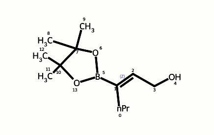 CCC/C(=C\CO)B1OC(C)(C)C(C)(C)O1